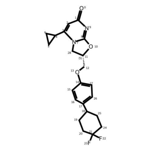 O=c1cc(C2CC2)n2c(n1)O[C@H](COc1ccc(C3CCC(F)(F)CC3)cc1)C2